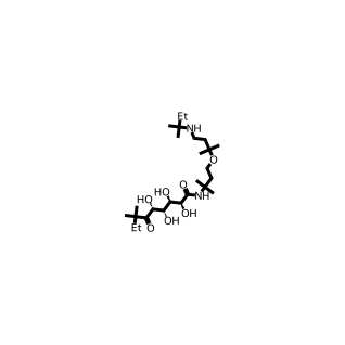 CCC(C)(C)NCCC(C)(C)OCCC(C)(C)NC(=O)[C@@H](O)[C@H](O)[C@H](O)[C@@H](O)C(=O)C(C)(C)CC